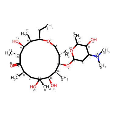 CC[C@H]1OC[C@H](C)[C@@H](OC2CC(N(C)C)C(O)C(C)O2)[C@H](C)[C@@H](O)[C@](C)(O)C[C@@H](C)C(=O)[C@H](C)[C@@H](O)[C@H]1C